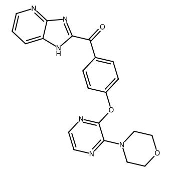 O=C(c1ccc(Oc2nccnc2N2CCOCC2)cc1)c1nc2ncccc2[nH]1